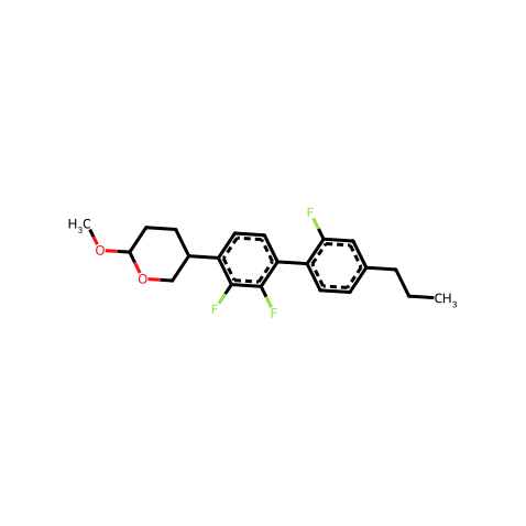 CCCc1ccc(-c2ccc(C3CCC(OC)OC3)c(F)c2F)c(F)c1